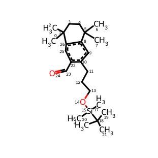 CC1(C)CCC(C)(C)c2cc(CCCO[Si](C)(C)C(C)(C)C)c(C=O)cc21